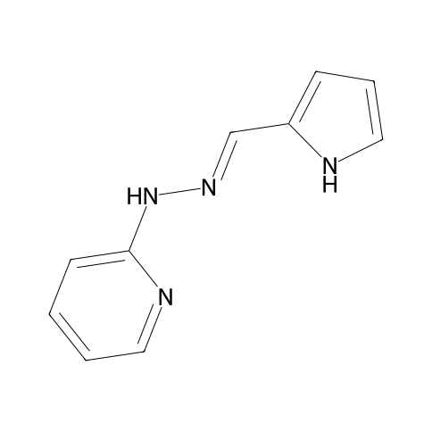 C(=NNc1ccccn1)c1ccc[nH]1